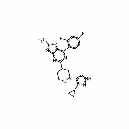 Cc1nc2nc(C3CCO[C@@H](c4c[nH]nc4C4CC4)C3)nc(-c3ccc(F)cc3F)c2o1